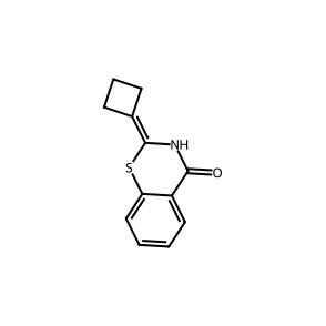 O=C1NC(=C2CCC2)Sc2ccccc21